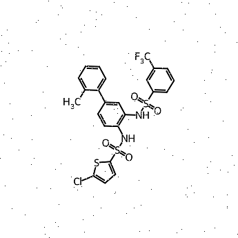 Cc1ccccc1-c1ccc(NS(=O)(=O)c2ccc(Cl)s2)c(NS(=O)(=O)c2cccc(C(F)(F)F)c2)c1